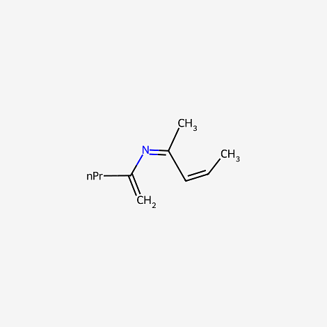 C=C(CCC)/N=C(C)\C=C/C